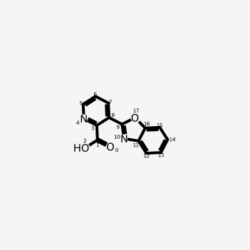 O=C(O)c1ncccc1-c1nc2ccccc2o1